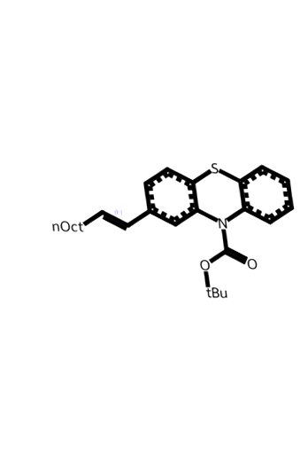 CCCCCCCC/C=C/c1ccc2c(c1)N(C(=O)OC(C)(C)C)c1ccccc1S2